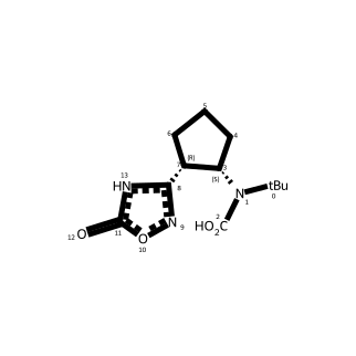 CC(C)(C)N(C(=O)O)[C@H]1CCC[C@H]1c1noc(=O)[nH]1